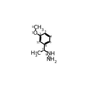 COc1cccc([C@H](C)NN)c1